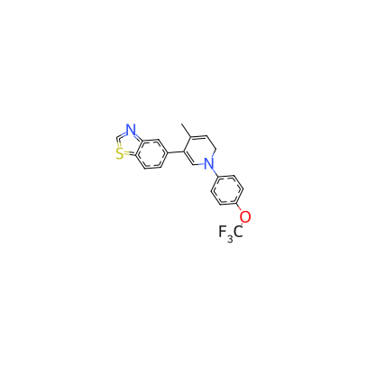 CC1=CCN(c2ccc(OC(F)(F)F)cc2)C=C1c1ccc2scnc2c1